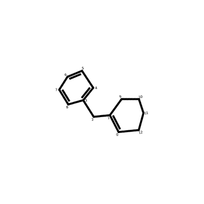 C1=C(Cc2ccccc2)CCCC1